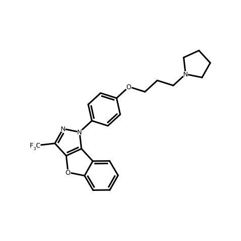 FC(F)(F)c1nn(-c2ccc(OCCCN3CCCC3)cc2)c2c1oc1ccccc12